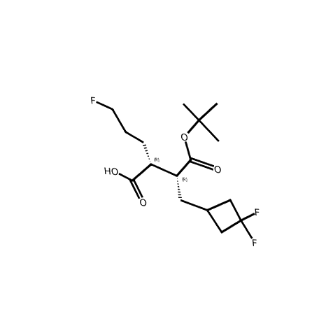 CC(C)(C)OC(=O)[C@H](CC1CC(F)(F)C1)[C@@H](CCCF)C(=O)O